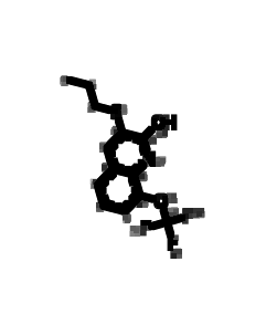 CCCSc1cc2cccc(OC(F)(F)F)c2nc1O